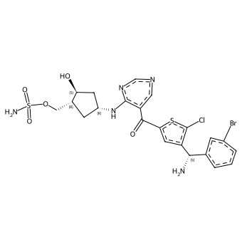 N[C@@H](c1cccc(Br)c1)c1cc(C(=O)c2cncnc2N[C@@H]2C[C@H](COS(N)(=O)=O)[C@@H](O)C2)sc1Cl